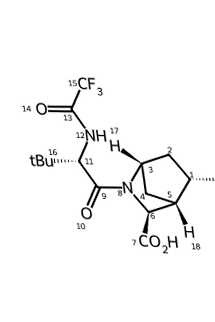 C[C@H]1C[C@@H]2C[C@H]1[C@@H](C(=O)O)N2C(=O)[C@@H](NC(=O)C(F)(F)F)C(C)(C)C